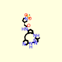 Cc1cnc2nc1Nc1ccc(NC(=O)C[C@H]3CCN(S(C)(=O)=O)C3)c(c1)CCc1cncc(c1)N2